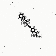 CC(C)(C#Cc1ccc(C(=S)NO)cc1)NC(=O)c1cc2ccccc2o1